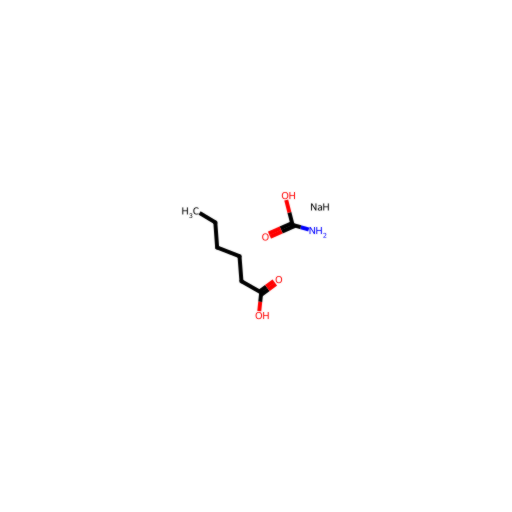 CCCCCC(=O)O.NC(=O)O.[NaH]